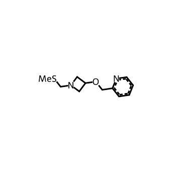 CSCN1CC(OCc2ccccn2)C1